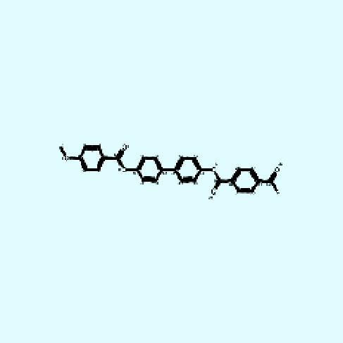 COc1ccc(C(=O)Oc2ccc(-c3ccc(OC(=O)c4ccc(C(C)=O)cc4)cc3)cc2)cc1